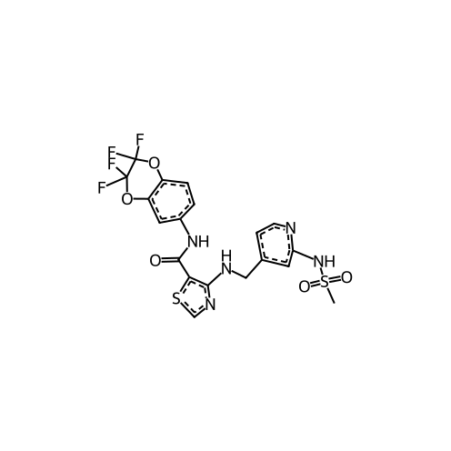 CS(=O)(=O)Nc1cc(CNc2ncsc2C(=O)Nc2ccc3c(c2)OC(F)(F)C(F)(F)O3)ccn1